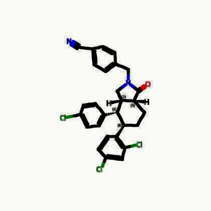 N#Cc1ccc(CN2C[C@H]3[C@@H](c4ccc(Cl)cc4)[C@H](c4ccc(Cl)cc4Cl)CC[C@H]3C2=O)cc1